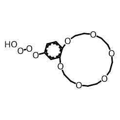 OOOOc1ccc2c(c1)OCCOCCOCCOCCOCCO2